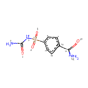 NC(=O)NS(=O)(=O)c1ccc(C(N)=O)cc1